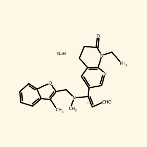 Cc1c(CN(C)/C(=C/C=O)c2cnc3c(c2)CCC(=O)N3CP)oc2ccccc12.[NaH]